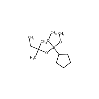 CCC(C)(C)O[Si](OC)(OC)C1CCCC1